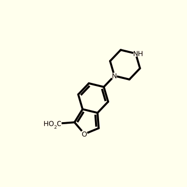 O=C(O)c1occ2cc(N3CCNCC3)ccc12